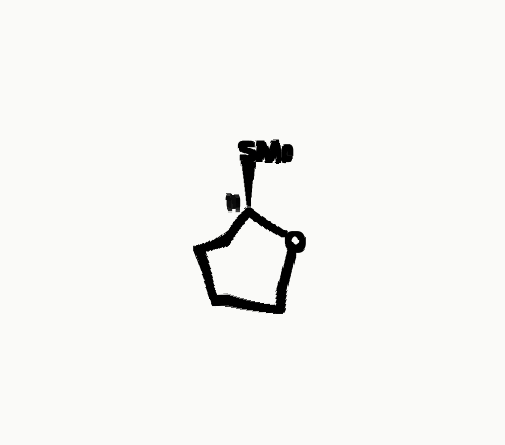 CS[C@H]1CCCO1